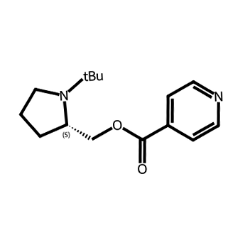 CC(C)(C)N1CCC[C@H]1COC(=O)c1ccncc1